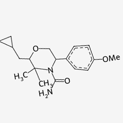 COc1ccc(C2COC(CC3CC3)C(C)(C)N2C(N)=O)cc1